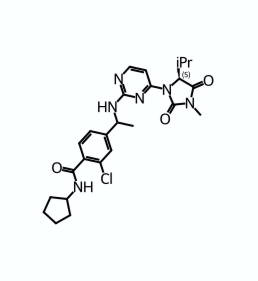 CC(Nc1nccc(N2C(=O)N(C)C(=O)[C@@H]2C(C)C)n1)c1ccc(C(=O)NC2CCCC2)c(Cl)c1